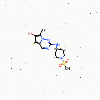 CC(C)c1c(Br)c(F)c2cnc(N[C@@H]3CCN(S(C)(=O)=O)C[C@H]3F)nn12